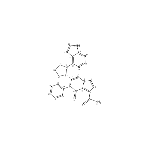 NC(=O)c1ccn2nc([C@@H]3CCCN3c3ncnc4[nH]cnc34)n(-c3ccccc3)c(=O)c12